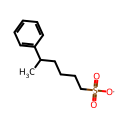 CC(CCCCS([O])(=O)=O)c1ccccc1